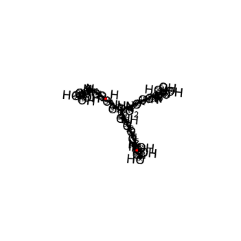 NC(CCC(=O)NCCOCCOCCOCc1cn([C@H]2CO[C@H](CO)[C@H](O)[C@@H]2O)nn1)(CCC(=O)NCCOCCOCCOCc1cn([C@H]2CO[C@H](CO)[C@H](O)[C@@H]2O)nn1)CCC(=O)NCCOCCOCCOCc1cn([C@H]2CO[C@H](CO)[C@H](O)[C@@H]2O)nn1